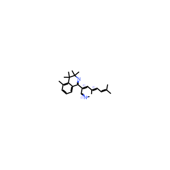 C\N=C/C(=C\C(C)=C\C=C(C)C)C1=NC(C)(C)C(C)(C)c2c(C)cccc21